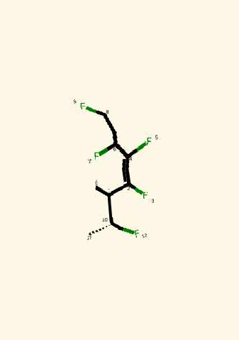 CC(/C(F)=C(/F)C(F)CF)[C@@H](C)F